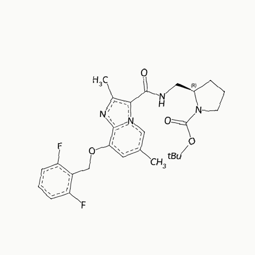 Cc1cc(OCc2c(F)cccc2F)c2nc(C)c(C(=O)NC[C@H]3CCCN3C(=O)OC(C)(C)C)n2c1